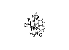 NC(=O)c1cnc2ccc(-c3cncs3)cc2c1Nc1ccc(F)c(Cl)c1